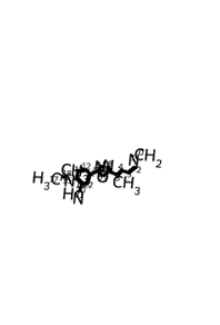 C=N/C=C\C=C(/C)c1nnc(-c2ccc(NC(C)C)c(C#N)c2)o1